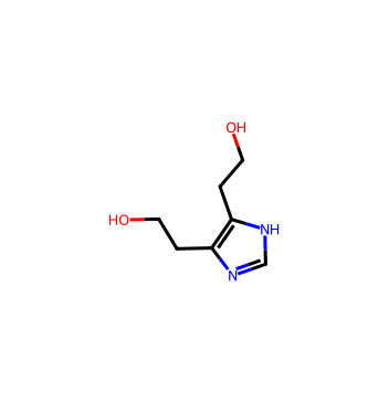 OCCc1nc[nH]c1CCO